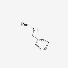 C[CH]CC(C)NCc1ccccc1